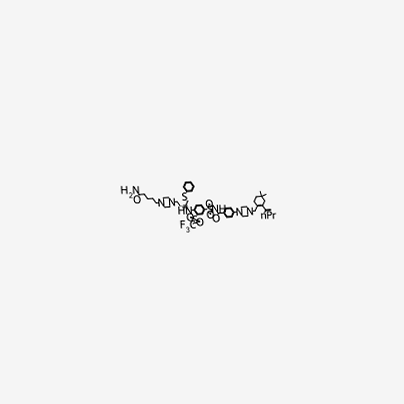 C=C(CCC)C1=C(CN2CCN(c3ccc(C(=O)NS(=O)(=O)c4ccc(N[C@H](CCN5CCN(CCCCC(N)=O)CC5)CSc5ccccc5)c(S(=O)(=O)C(F)(F)F)c4)cc3)CC2)CCC(C)(C)C1